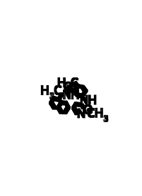 COc1ncccc1Nc1ccc(C)c(C(=O)NC(C)c2cccc3ccccc23)c1